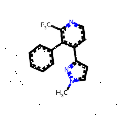 Cn1ccc(-c2[c]cnc(C(F)(F)F)c2-c2ccccc2)n1